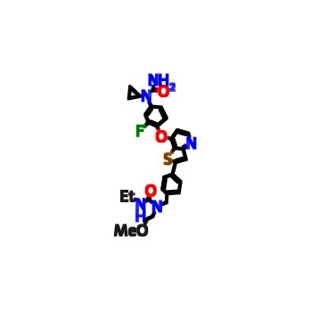 CCNC(=O)N(CCOC)Cc1ccc(-c2cc3nccc(Oc4ccc(N(C(N)=O)C5CC5)cc4F)c3s2)cc1